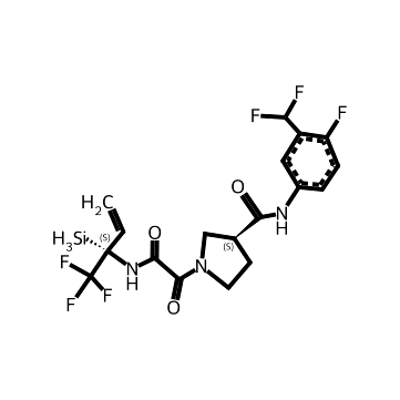 C=C[C@@]([SiH3])(NC(=O)C(=O)N1CC[C@H](C(=O)Nc2ccc(F)c(C(F)F)c2)C1)C(F)(F)F